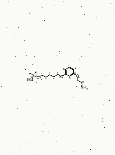 CC(C)(C)[Si](C)(C)OCCCCCOc1cccc(OCCN)c1